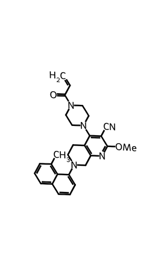 C=CC(=O)N1CCN(c2c(C#N)c(OC)nc3c2CCN(c2cccc4cccc(C)c24)C3)CC1